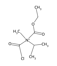 CCOC(=O)[N+](C)(C(=O)Cl)C(C)C